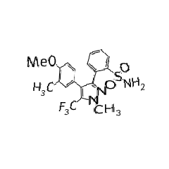 COc1ccc(-c2c(-c3ccccc3S(N)(=O)=O)nn(C)c2C(F)(F)F)cc1C